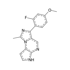 COc1ccc(-c2nc(C)n3c2cnc2[nH]ccc23)c(F)c1